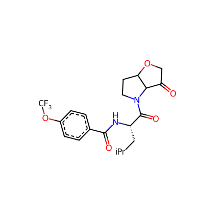 CC(C)C[C@H](NC(=O)c1ccc(OC(F)(F)F)cc1)C(=O)N1CCC2OCC(=O)C21